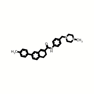 Cc1ccc(-c2ccc3c(c2)C=C(C(=O)Nc2ccc(CN4CCN(C)CC4)cc2)CC3)cc1